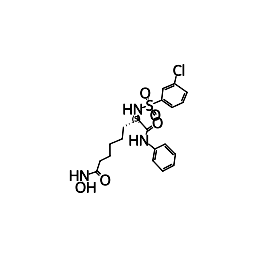 O=C(CCCCC[C@H](NS(=O)(=O)c1cccc(Cl)c1)C(=O)Nc1ccccc1)NO